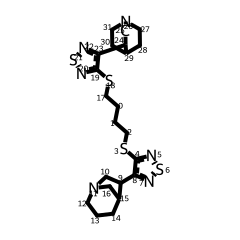 C(CCSc1nsnc1C1CN2CCCC1C2)CSc1nsnc1C1CN2CCC1CC2